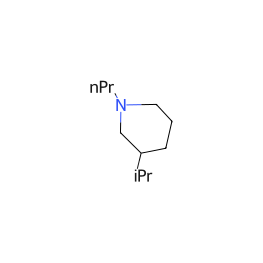 CCCN1CCCC(C(C)C)C1